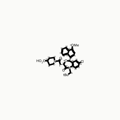 COc1ccc([C@@H]2O[C@@H](CC(=O)N3CCC(C(=O)O)CC3)C(=O)N(CC(C)(C)C)c3ccc(Cl)cc32)c2ccccc12